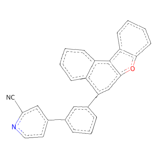 N#Cc1cc(-c2cccc(-c3cc4oc5ccccc5c4c4ccccc34)c2)ccn1